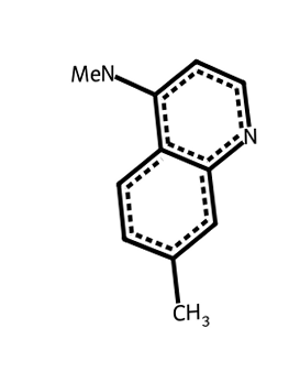 CNc1ccnc2cc(C)ccc12